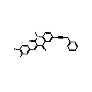 CN1C(=O)/C(=C\c2ccc(F)c(F)c2)C(=O)c2cc(C#CCc3ccccc3)ccc21